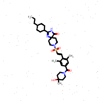 Cc1cc(C(=O)N2CCC(C)(O)CC2)cc(C)c1/C=C/S(=O)(=O)N1CCC2(CC1)N=C(C1CCC(CCC(F)(F)F)CC1)NC2=O